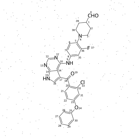 O=CC1CCN(c2ccc(Nc3ncnc4[nH]cc(C(=O)c5ccc(Oc6ccccc6)cc5Cl)c34)cc2F)CC1